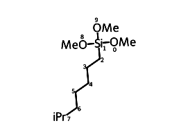 CO[Si](CCCCCC(C)C)(OC)OC